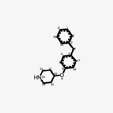 c1ccc(Cc2ccc(OC3CCNCC3)cc2)cc1